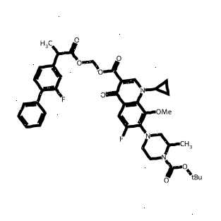 COc1c(N2CCN(C(=O)OC(C)(C)C)C(C)C2)c(F)cc2c(=O)c(C(=O)OCOC(=O)C(C)c3ccc(-c4ccccc4)c(F)c3)cn(C3CC3)c12